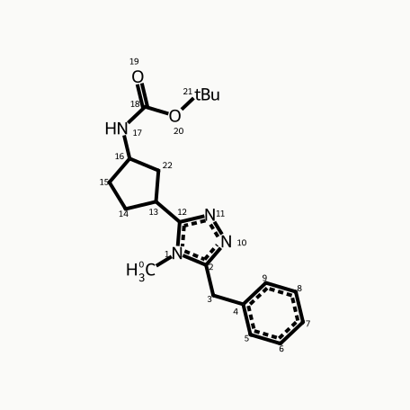 Cn1c(Cc2ccccc2)nnc1C1CCC(NC(=O)OC(C)(C)C)C1